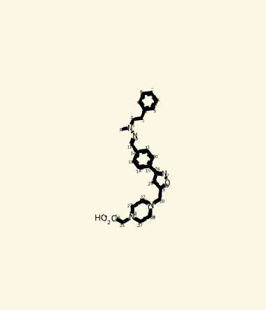 CN(CCc1ccccc1)N=Cc1ccc(C2=NOC(CN3CCN(CC(=O)O)CC3)C2)cc1